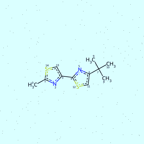 Cc1nc(-c2nc(C(C)(C)C)cs2)cs1